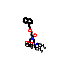 CCN(CC)CCN(CC(OC)OC)C(=O)CCOCCc1cccc2ccccc12